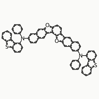 c1ccc(N(c2ccc3cc4c(cc3c2)oc2c4ccc3oc4cc5cc(N(c6ccccc6)c6cccc7sc8ccccc8c67)ccc5cc4c32)c2cccc3sc4ccccc4c23)cc1